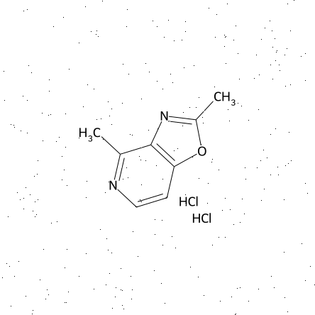 Cc1nc2c(C)nccc2o1.Cl.Cl